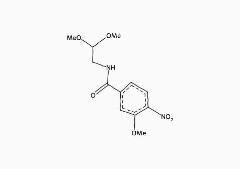 COc1cc(C(=O)NCC(OC)OC)ccc1[N+](=O)[O-]